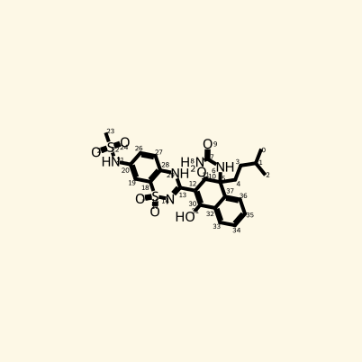 CC(C)CCC1(NC(N)=O)C(=O)C(C2=NS(=O)(=O)c3cc(NS(C)(=O)=O)ccc3N2)=C(O)c2ccccc21